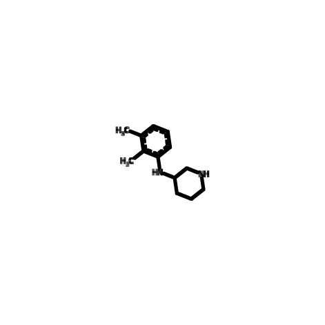 Cc1cccc(NC2CCCNC2)c1C